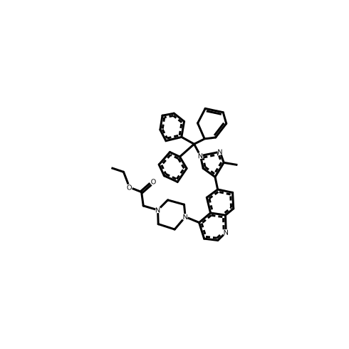 CCOC(=O)CN1CCN(c2ccnc3ccc(-c4cn(C(c5ccccc5)(c5ccccc5)C5C=CC=CC5)nc4C)cc23)CC1